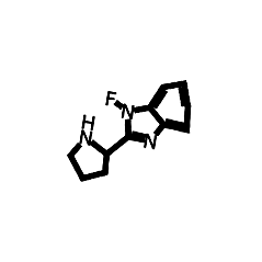 Fn1c(C2CCCN2)nc2ccccc21